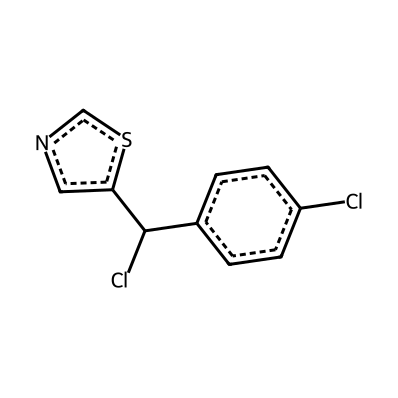 Clc1ccc(C(Cl)c2cncs2)cc1